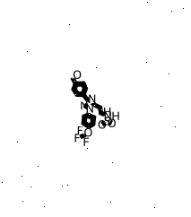 O=Cc1ccc(-c2nc(CCN[SH](=O)=O)n(-c3ccc(OC(F)(F)F)cc3)n2)cc1